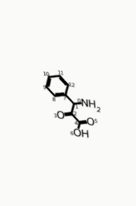 NC(C(=O)C(=O)O)c1ccccc1